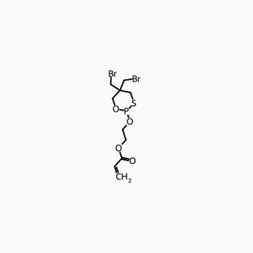 C=CC(=O)OCCOP1OCC(CBr)(CBr)CS1